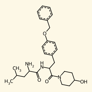 CC(C)CC(N)C(=O)NC(Cc1ccc(OCc2ccccc2)cc1)C(=O)N1CCC(O)CC1